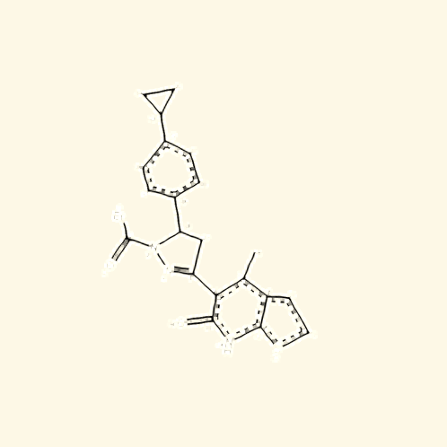 CCC(=O)N1N=C(c2c(C)c3ccsc3[nH]c2=O)CC1c1ccc(C2CC2)cc1